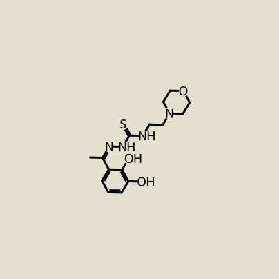 CC(=NNC(=S)NCCN1CCOCC1)c1cccc(O)c1O